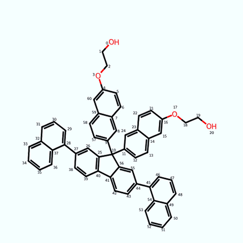 OCCOc1ccc2cc(C3(c4ccc5cc(OCCO)ccc5c4)c4cc(-c5cccc6ccccc56)ccc4-c4ccc(-c5cccc6ccccc56)cc43)ccc2c1